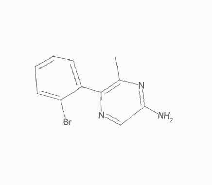 Cc1nc(N)cnc1-c1ccccc1Br